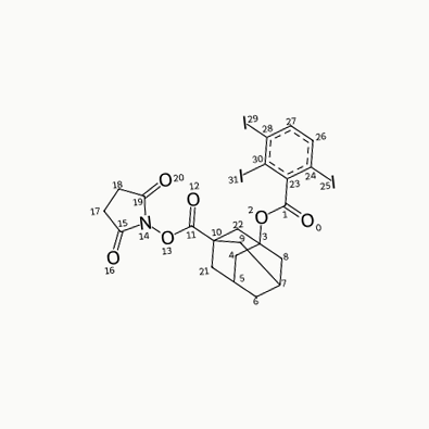 O=C(OC12CC3CC(C1)CC(C(=O)ON1C(=O)CCC1=O)(C3)C2)c1c(I)ccc(I)c1I